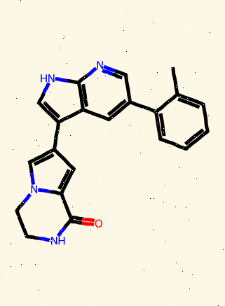 Cc1ccccc1-c1cnc2[nH]cc(-c3cc4n(c3)CCNC4=O)c2c1